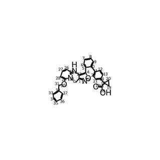 Cc1noc(-c2ccccc2-c2ccc(C3(C(=O)O)CC3)cc2)c1Nc1cccc(OCc2ccccc2)n1